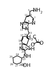 CC(=O)O.NCc1cnc2c(c1)ncn2Cc1ccc2nc(N[C@@H]3CCCC[C@H]3O)sc2c1